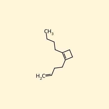 C=CCCC1=C(CCCC)CC1